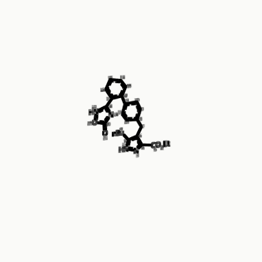 CCCCc1[nH]nc(C(=O)OCC)c1Cc1ccc(-c2ccccc2-c2nc(=O)o[nH]2)cc1